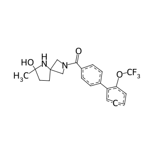 CC1(O)CCC2(CN(C(=O)c3ccc(-c4ccccc4OC(F)(F)F)cc3)C2)N1